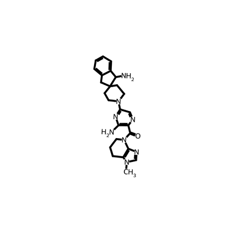 Cn1cnc2c1CCCN2C(=O)c1ncc(N2CCC3(CC2)Cc2ccccc2C3N)nc1N